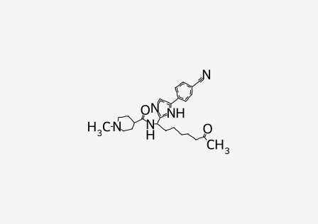 CC(=O)CCCCCC(NC(=O)C1CCN(C)CC1)c1ncc(-c2ccc(C#N)cc2)[nH]1